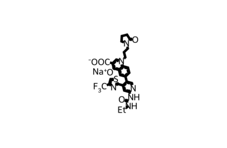 CCNC(=O)Nc1cc(-c2nc(C(F)(F)F)cs2)c(-c2ccc3c(c2)c(=O)c(C(=O)[O-])cn3CCCN2CCCC2=O)cn1.[Na+]